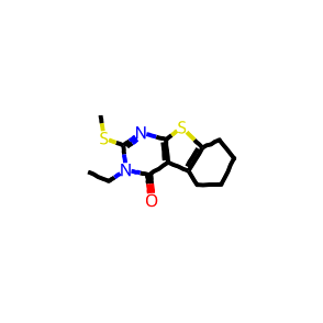 CCn1c(SC)nc2sc3c(c2c1=O)CCCC3